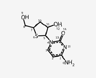 Nc1ccn(C2SC(CO)CC2O)c(=O)n1